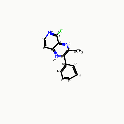 FC(F)(F)c1nc2c(Cl)nccc2nc1-c1ccccc1